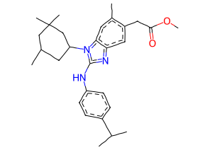 COC(=O)Cc1cc2nc(Nc3ccc(C(C)C)cc3)n(C3CC(C)CC(C)(C)C3)c2cc1C